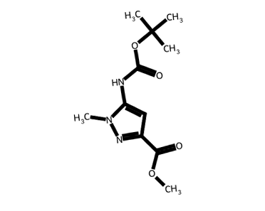 COC(=O)c1cc(NC(=O)OC(C)(C)C)n(C)n1